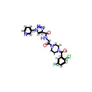 O=C(NCC(=O)N1CCN(C(=O)c2cc(F)ccc2Cl)CC1)c1cn(-c2cccnc2)nn1